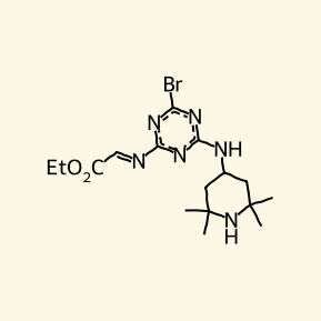 CCOC(=O)/C=N/c1nc(Br)nc(NC2CC(C)(C)NC(C)(C)C2)n1